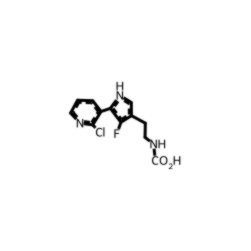 O=C(O)NCCc1c[nH]c(-c2cccnc2Cl)c1F